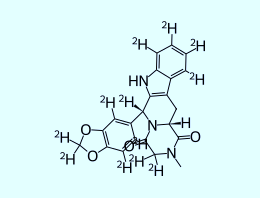 [2H]c1c([2H])c([C@]2([2H])c3[nH]c4c([2H])c([2H])c([2H])c([2H])c4c3C[C@@H]3C(=O)N(C)C([2H])([2H])C(=O)N32)c([2H])c2c1OC([2H])([2H])O2